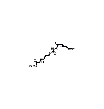 CC(C)CC/C=C/C(=O)ONC(=O)OCCCCNC(=O)OC(C)(C)C